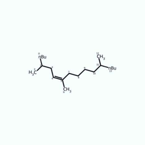 CCCCC(C)CC=C(C)CCCCC(C)CCCC